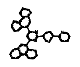 c1ccc(-c2ccc(-c3nc(-c4cc5ccccc5c5ccccc45)cc(-c4cc5ccccc5c5ccccc45)n3)cc2)nc1